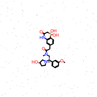 COc1cccc([C@H](CN(C)C(=O)Cc2ccc3c(c2)NC(=O)CS3(O)O)N2CC[C@H](O)C2)c1